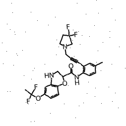 Cc1ccc(NC(=O)C2CNc3cc(OC(C)(F)F)ccc3O2)c(C#CCN2CCC(F)(F)C2)c1